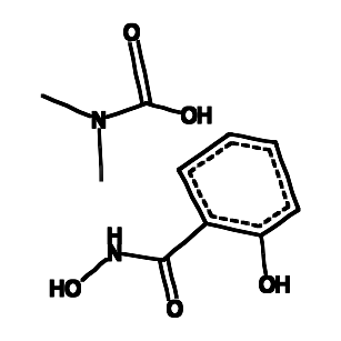 CN(C)C(=O)O.O=C(NO)c1ccccc1O